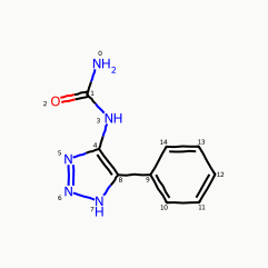 NC(=O)Nc1nn[nH]c1-c1ccccc1